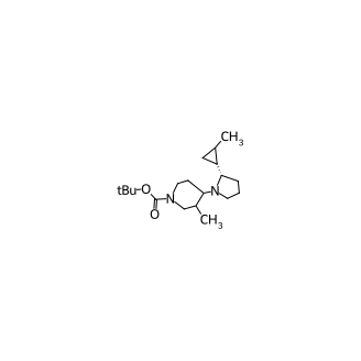 CC1CC1[C@@H]1CCCN1C1CCN(C(=O)OC(C)(C)C)CC1C